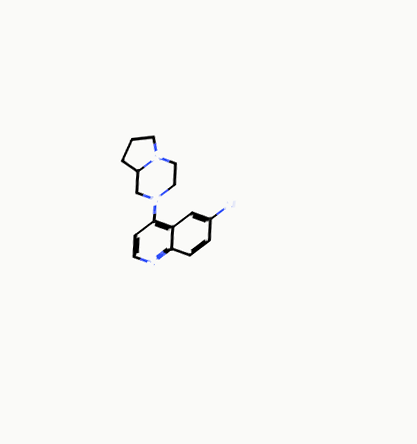 Nc1ccc2nccc(N3CCN4CCCC4C3)c2c1